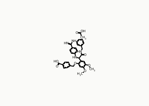 CC(=O)O.COc1cc(OCc2ccc(C(=O)O)cc2)c(C(Nc2ccc(C(=N)N)cc2)C(=O)NCc2ccccc2)cc1OC